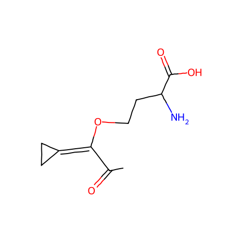 CC(=O)C(OCCC(N)C(=O)O)=C1CC1